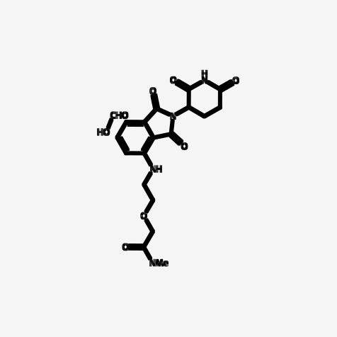 CNC(=O)COCCNc1cccc2c1C(=O)N(C1CCC(=O)NC1=O)C2=O.O=CO